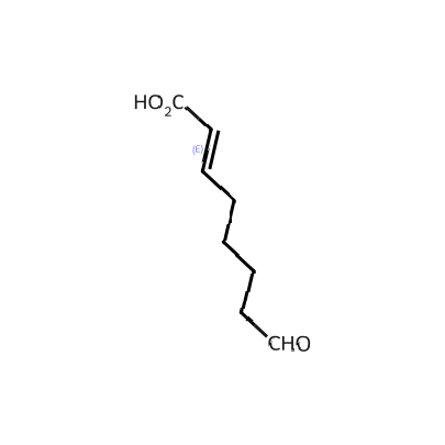 O=CCCCC/C=C/C(=O)O